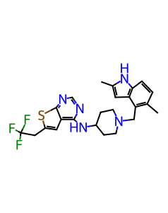 Cc1cc2c(CN3CCC(Nc4ncnc5sc(CC(F)(F)F)cc45)CC3)c(C)ccc2[nH]1